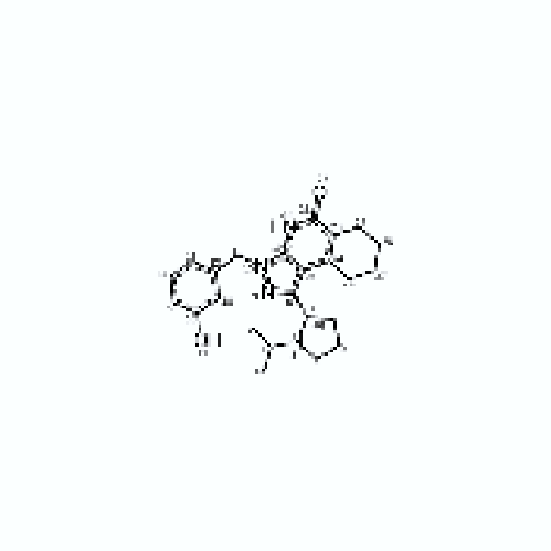 CC(C)N1CCC[C@@H]1c1nn(Cc2cccc(O)c2)c2[nH]c(=O)c3c(c12)CCCC3